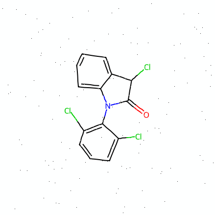 O=C1C(Cl)c2ccccc2N1c1c(Cl)cccc1Cl